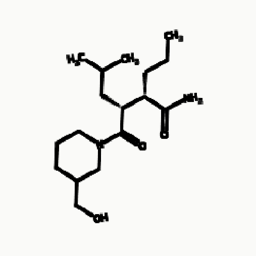 CCC[C@H](C(N)=O)[C@@H](CC(C)C)C(=O)N1CCCC(CO)C1